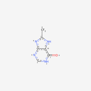 O=c1[nH]cnc2nc(C(F)(F)F)[nH]c12